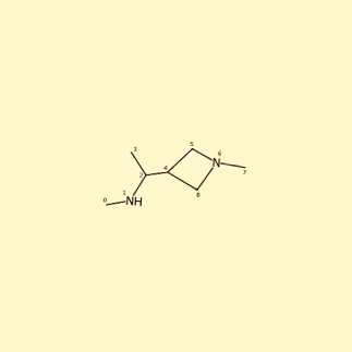 CNC(C)C1CN(C)C1